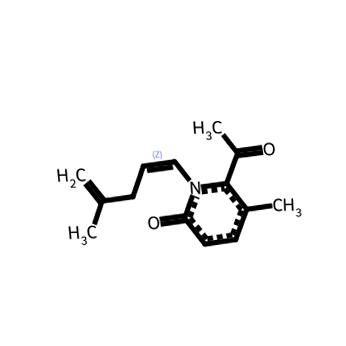 C=C(C)C/C=C\n1c(C(C)=O)c(C)ccc1=O